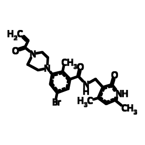 C=CC(=O)N1CCN(c2cc(Br)cc(C(=O)NCc3c(C)cc(C)[nH]c3=O)c2C)CC1